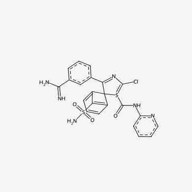 N=C(N)c1cccc(C2=NC(Cl)=S(C(=O)Nc3ccccn3)C23C2=CC=CC3=C2S(N)(=O)=O)c1